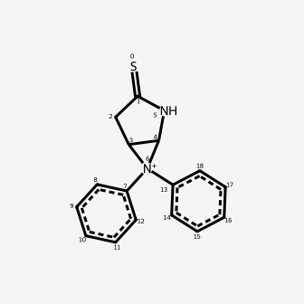 S=C1CC2C(N1)[N+]2(c1ccccc1)c1ccccc1